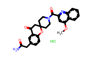 COc1cc(C(=O)N2CCC3(CC2)CC(=O)c2cc(CC(N)=O)ccc2O3)nc2ccccc12.Cl